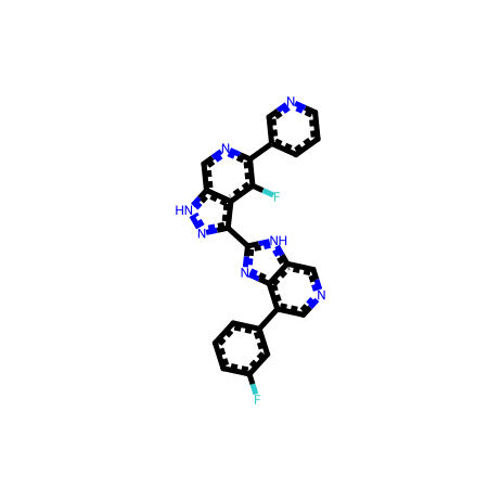 Fc1cccc(-c2cncc3[nH]c(-c4n[nH]c5cnc(-c6cccnc6)c(F)c45)nc23)c1